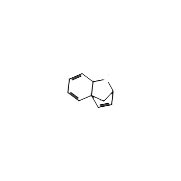 C1=CC2OC3C=CC2(C=C1)C3